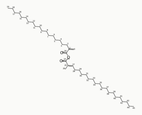 C=C(CCCCCCCCCCCCCCCCCC)C(=O)OC(=O)C(C)=CCCCCCCCCCCCCCCCCCC